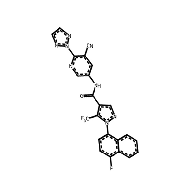 N#Cc1cc(NC(=O)c2cnn(-c3ccc(F)c4ccccc34)c2C(F)(F)F)cnc1-n1nccn1